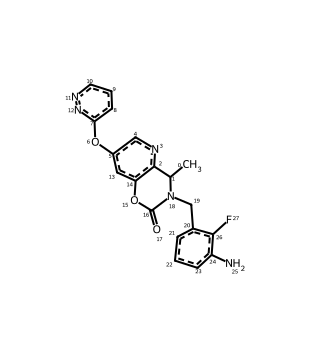 CC1c2ncc(Oc3cccnn3)cc2OC(=O)N1Cc1cccc(N)c1F